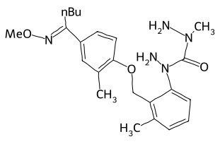 CCCCC(=NOC)c1ccc(OCc2c(C)cccc2N(N)C(=O)N(C)N)c(C)c1